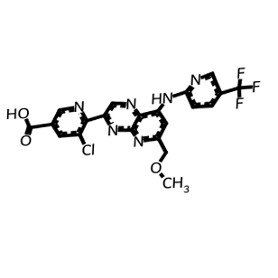 COCc1cc(Nc2ccc(C(F)(F)F)cn2)c2ncc(-c3ncc(C(=O)O)cc3Cl)nc2n1